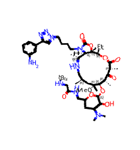 CC[C@H]1OC(=O)[C@H](C)C(=O)[C@H](C)[C@@H](O[C@@H]2OC(CNC(=O)CNC(C)(C)C)CC(N(C)C)C2O)[C@](C)(OC)C[C@@H](C)CN[C@H](C)[C@H]2N(CCCCn3cc(-c4cccc(N)c4)nn3)C(=O)O[C@]12C